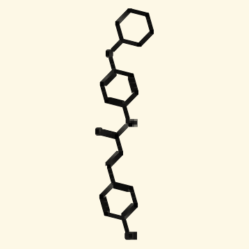 O=C(C=Cc1ccc(O)cc1)Nc1ccc(OC2CCCCC2)cc1